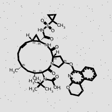 C[C@@H]1CCC=C[C@@H]2C[C@@]2(C(=O)NS(=O)(=O)C2(C)CC2)NC(=O)[C@@H]2C[C@@H](Oc3nc4c(c5ccccc35)CCCO4)CN2C(=O)[C@@H](N(C(=O)O)C(C)(C)C)[C@H](C)C1